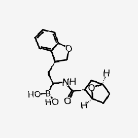 O=C(N[C@H](C[C@@H]1COc2ccccc21)B(O)O)[C@H]1C[C@H]2CC[C@@H]1O2